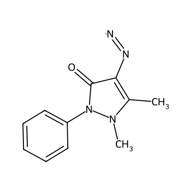 Cc1c(N=[N])c(=O)n(-c2ccccc2)n1C